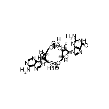 Nc1nc2c(ncn2[C@@H]2O[C@@H]3CO[P@@](=O)(S)O[C@@H]4[C@H](O)[C@@H](CO[P@@](=O)(S)O[C@H]3[C@H]2F)O[C@H]4n2cnc3c(N)ncnc32)c(=O)[nH]1